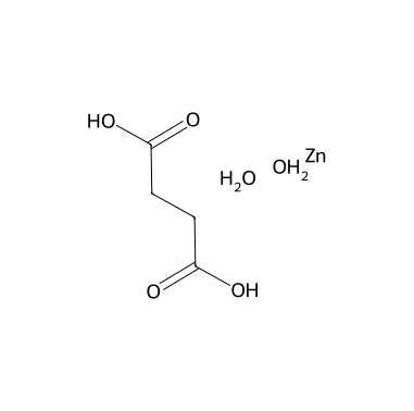 O.O.O=C(O)CCC(=O)O.[Zn]